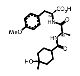 COc1ccc(C[C@H](NC(=O)[C@@H](C)NC(=O)C2CCC(C)(O)CC2)C(=O)O)cc1